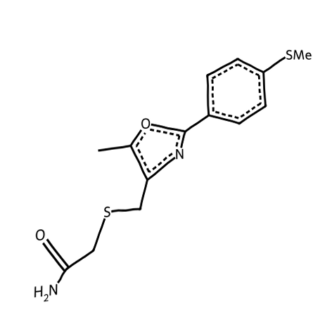 CSc1ccc(-c2nc(CSCC(N)=O)c(C)o2)cc1